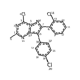 Cc1nc(Cl)n2nc(-c3ccccc3Cl)c(-c3ccc(Cl)cc3)c2n1